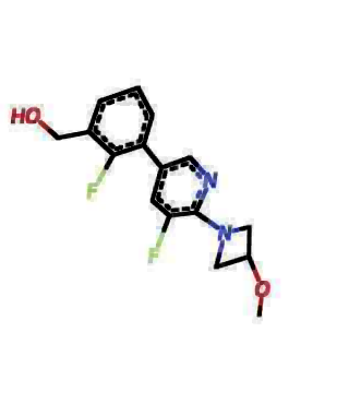 COC1CN(c2ncc(-c3cccc(CO)c3F)cc2F)C1